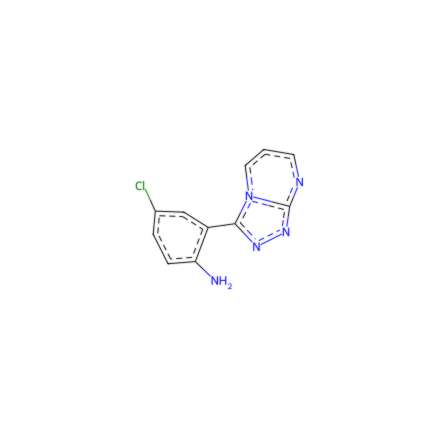 Nc1ccc(Cl)cc1-c1nnc2ncccn12